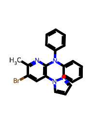 Cc1nc(N(c2ccccc2)c2ccccc2)c(-n2cccn2)cc1Br